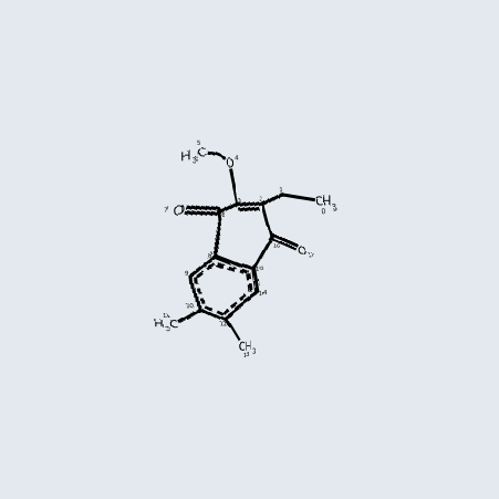 CCC1=C(OC)C(=O)c2cc(C)c(C)cc2C1=O